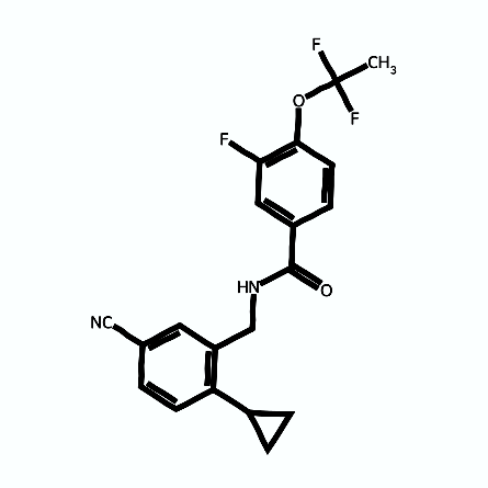 CC(F)(F)Oc1ccc(C(=O)NCc2cc(C#N)ccc2C2CC2)cc1F